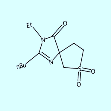 CCCCC1=NC2(CCS(=O)(=O)C2)C(=O)N1CC